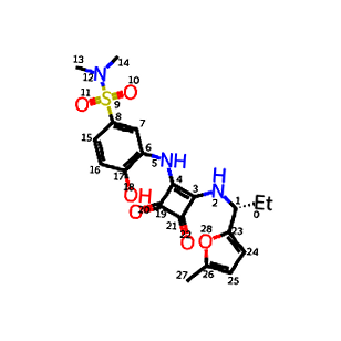 CC[C@@H](Nc1c(Nc2cc(S(=O)(=O)N(C)C)ccc2O)c(=O)c1=O)c1ccc(C)o1